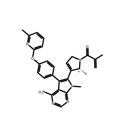 C=C(C)C(=O)N1CC=C(c2c(-c3ccc(Oc4cccc(C)n4)cc3)c3c(N)ncnc3n2C)[C@H]1C